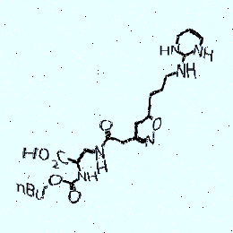 CCCCOC(=O)NC(CNC(=O)CC1=NOC(CCCNC2NC=CCN2)C1)C(=O)O